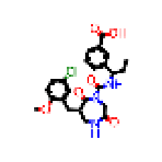 CCC(NC(=O)N1CC(=O)NCC(Cc2cc(Cl)ccc2OC)C1=O)c1cccc(C(=O)O)c1